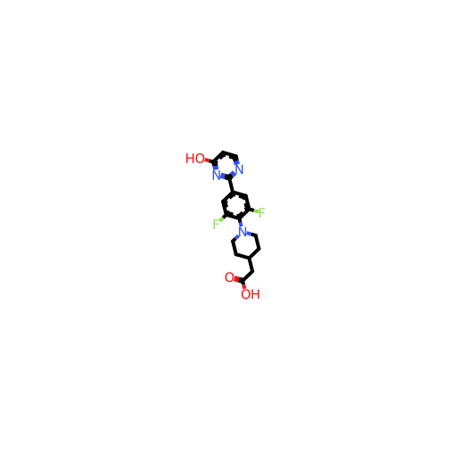 O=C(O)CC1CCN(c2c(F)cc(-c3nccc(O)n3)cc2F)CC1